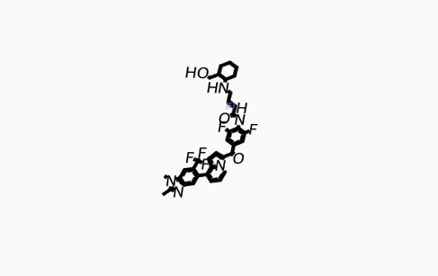 Cc1nc2cc(-c3cccn4c(C(=O)c5cc(F)c(NC(=O)/C=C/CNC6CCCCC6CO)c(F)c5)ccc34)c(C(F)(F)F)cc2n1C